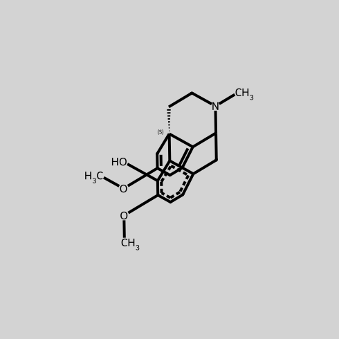 COC1=C[C@]23CCN(C)C(Cc4ccc(OC)c(O)c42)C3=CC1